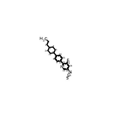 CCCC1CCC(c2ccc(-c3ncc(N=C=S)cc3F)cc2)CC1